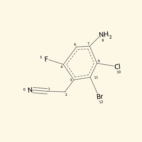 N#CCc1c(F)cc(N)c(Cl)c1Br